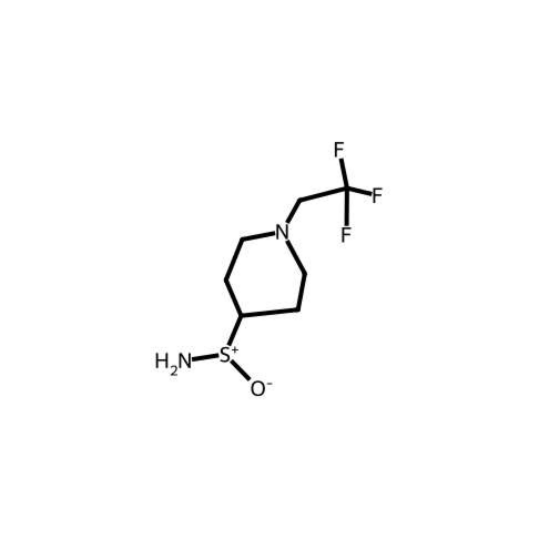 N[S+]([O-])C1CCN(CC(F)(F)F)CC1